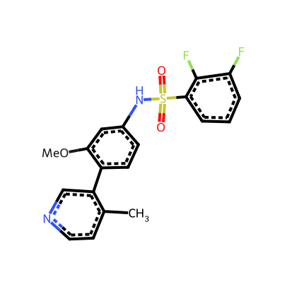 COc1cc(NS(=O)(=O)c2cccc(F)c2F)ccc1-c1cnccc1C